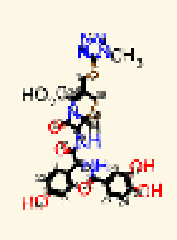 Cn1nnnc1SCC1=C(C(=O)O)N2C(=O)C(NC(=O)C(NC(=O)c3ccc(O)c(O)c3)c3ccc(O)cc3)[C@H]2SC1